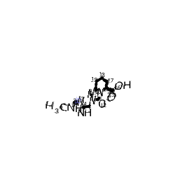 CN/C=N\C(=N)Cn1nc2n(c1=O)C(C(=O)O)CCC2